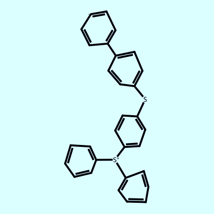 [c]1ccc(-c2ccc(Sc3ccc([S+](c4ccccc4)c4ccccc4)cc3)cc2)cc1